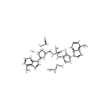 BPOC[C@H]1O[C@@H](n2cnc3c(N)ncnc32)[C@H](F)[C@@H]1OP(=O)(S)OC[C@H]1O[C@@H](n2cnc3c(N)ncnc32)[C@H](F)[C@@H]1OC=O